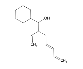 C=CC=CCC(C=C)C(O)C1CC=CCC1